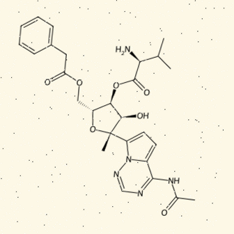 CC(=O)Nc1ncnn2c([C@]3(C)O[C@H](COC(=O)Cc4ccccc4)[C@@H](OC(=O)[C@@H](N)C(C)C)[C@H]3O)ccc12